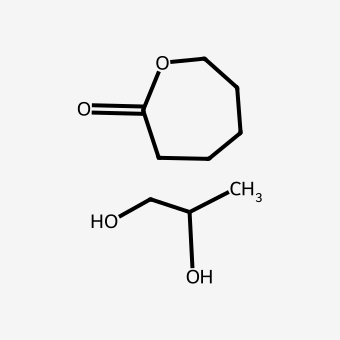 CC(O)CO.O=C1CCCCCO1